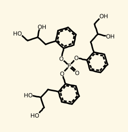 O=P(Oc1ccccc1CC(O)CO)(Oc1ccccc1CC(O)CO)Oc1ccccc1CC(O)CO